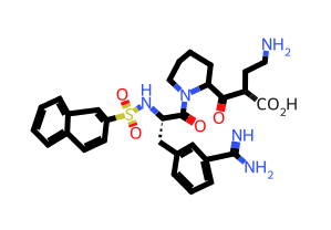 N=C(N)c1cccc(C[C@H](NS(=O)(=O)c2ccc3ccccc3c2)C(=O)N2CCCCC2C(=O)C(CCN)C(=O)O)c1